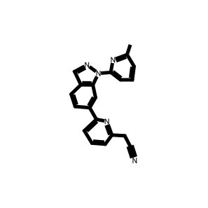 Cc1cccc(-n2ncc3ccc(-c4cccc(CC#N)n4)cc32)n1